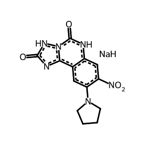 O=c1nc2c3cc(N4CCCC4)c([N+](=O)[O-])cc3[nH]c(=O)n2[nH]1.[NaH]